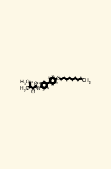 CCCCCCCCCSc1ccc(-c2ccc(OC(=O)C(Cl)C(C)CC)cc2)cc1